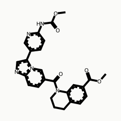 COC(=O)Nc1ccc(-c2cnc3ccc(C(=O)N4CCCc5ccc(C(=O)OC)cc54)cn23)cn1